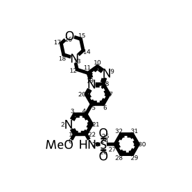 COc1ncc(-c2ccc3ncc(CN4CCOCC4)n3c2)cc1NS(=O)(=O)c1ccccc1